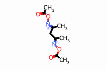 CC(=O)O/N=C(\C)C/C(C)=N/OC(C)=O